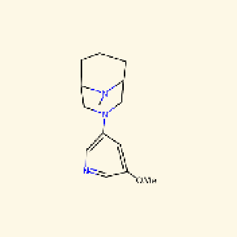 COc1cncc(N2CC3CCCC(C2)N3C)c1